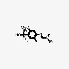 COc1cc(/N=C/N(C)C(C)C)c(C)cc1C(O)(C(C)C)C(F)(F)F